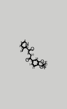 Cc1cccnc1C(=O)CCC(=O)c1ccc2c(c1)OC(F)(F)O2